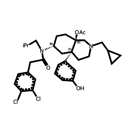 CC(=O)O[C@]12CC[C@@H](N(CC(C)C)C(=O)Cc3ccc(Cl)c(Cl)c3)C[C@]1(c1cccc(O)c1)CCN(CC1CC1)C2